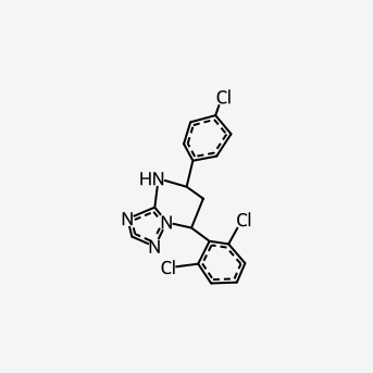 Clc1ccc(C2CC(c3c(Cl)cccc3Cl)n3ncnc3N2)cc1